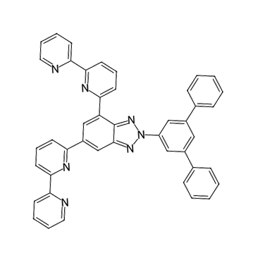 c1ccc(-c2cc(-c3ccccc3)cc(-n3nc4cc(-c5cccc(-c6ccccn6)n5)cc(-c5cccc(-c6ccccn6)n5)c4n3)c2)cc1